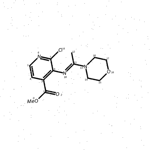 COC(=O)c1ccnc(Cl)c1/N=C(\C)N1CCOCC1